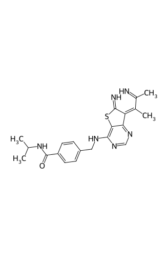 CC(=N)/C(C)=C1\C(=N)Sc2c(NCc3ccc(C(=O)NC(C)C)cc3)ncnc21